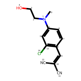 CN(CCO)c1ccc(C=C(C#N)C#N)c(Cl)c1